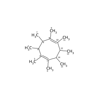 CC1=C(C)C(C)C(C)C(C)=C(C)C(C)C1C